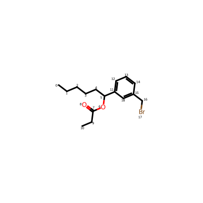 CCCCCC(OC(=O)CC)c1cccc(CBr)c1